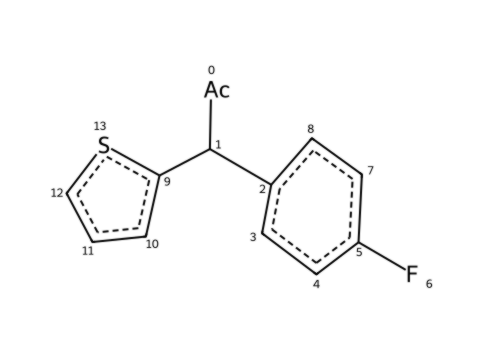 CC(=O)C(c1ccc(F)cc1)c1cccs1